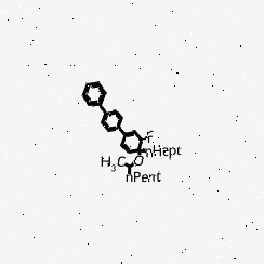 CCCCCCCC1(OC(C)CCCCC)C=CC(c2ccc(-c3ccccc3)cc2)=C[C@H]1F